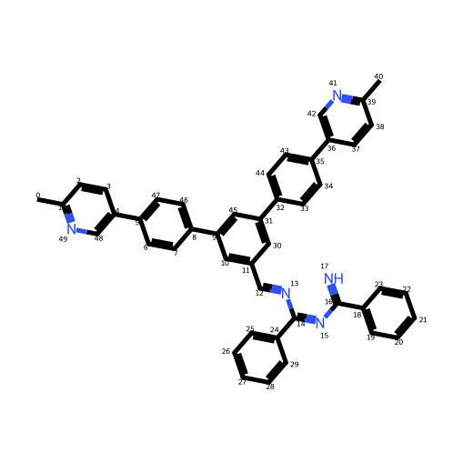 Cc1ccc(-c2ccc(-c3cc(/C=N/C(=N\C(=N)c4ccccc4)c4ccccc4)cc(-c4ccc(-c5ccc(C)nc5)cc4)c3)cc2)cn1